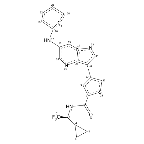 O=C(N[C@@H](C1CC1)C(F)(F)F)c1cc(-c2cnn3cc(Nc4ccccc4)cnc23)cs1